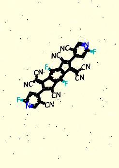 N#CC(C#N)=C1C(c2cc(F)ncc2C#N)=C(C#N)c2c(F)c3c(c(F)c21)C(C#N)=C(c1cc(F)ncc1C#N)C3=C(C#N)C#N